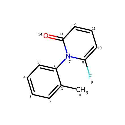 Cc1ccccc1-n1c(F)cccc1=O